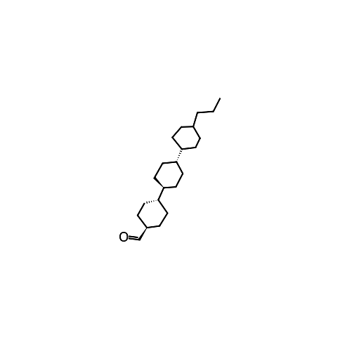 CCCC1CCC([C@H]2CC[C@H]([C@H]3CC[C@H](C=O)CC3)CC2)CC1